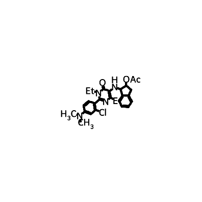 CCc1nc(-c2ccc(N(C)C)cc2Cl)n(CC)c(=O)c1NC1c2ccccc2CC1OC(C)=O